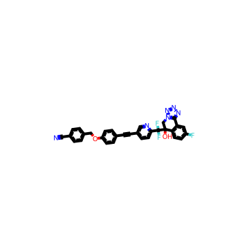 N#Cc1ccc(COc2ccc(C#Cc3ccc(C(F)(F)C4(O)Cn5nnnc5-c5cc(F)ccc54)nc3)cc2)cc1